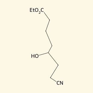 CCOC(=O)CCCC(O)CCC#N